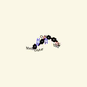 COc1ccc(NCc2ccc(C(=O)Nc3cc(-c4ccc(CO[Si](C)(C)C(C)(C)C)cc4)ccc3[N+](=O)[O-])cc2)cc1OC